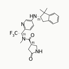 CN(C(=O)[C@H]1CNC(=O)C1)[C@@H](c1ccc(N[C@H]2Cc3ccccc3C2(C)C)cn1)C(F)(F)F